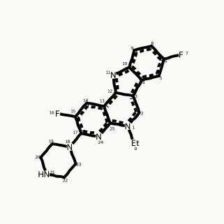 CCn1cc2c3cc(F)ccc3nc-2c2cc(F)c(N3CCNCC3)nc21